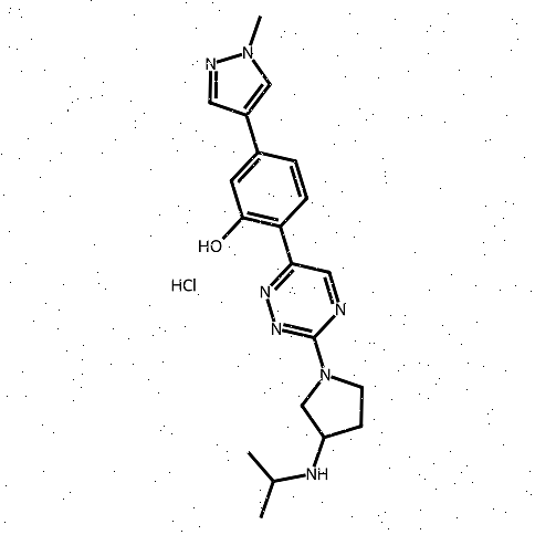 CC(C)NC1CCN(c2ncc(-c3ccc(-c4cnn(C)c4)cc3O)nn2)C1.Cl